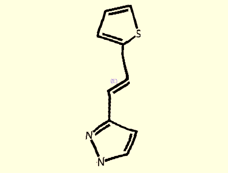 C1=CC(/C=C/c2cccs2)=N[N]1